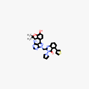 CC1(C)Cc2c(-c3nn(Cc4nc5cccc(-c6ccsc6)c5c(=O)n4-n4cccc4)c4ncnc(N)c34)ccc(O)c2O1